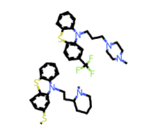 CN1CCN(CCCN2c3ccccc3Sc3ccc(C(F)(F)F)cc32)CC1.CSc1ccc2c(c1)N(CCC1CCCCN1C)c1ccccc1S2